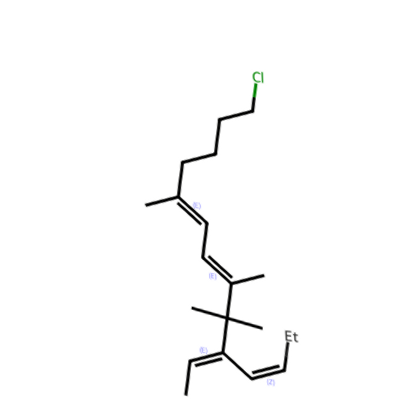 C/C=C(\C=C/CC)C(C)(C)/C(C)=C/C=C(\C)CCCCCl